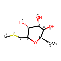 CO[C@H]1OC(CSC(C)=O)[C@H](O)[C@H](O)C1O